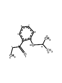 CCC(=O)c1ccccc1OC(C)C